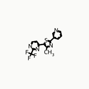 Cc1nc(-c2cccnc2)sc1-c1ccnc(C(F)(F)F)n1